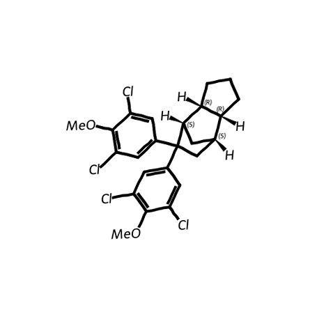 COc1c(Cl)cc(C2(c3cc(Cl)c(OC)c(Cl)c3)C[C@@H]3C[C@H]2[C@@H]2CCC[C@H]32)cc1Cl